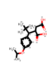 CC(C)Oc1ccc(C(C(CC(=O)O)C(=O)O)C(C)(C)C)cc1